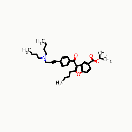 CCCCc1oc2ccc(C(=O)OC(C)C)cc2c1C(=O)c1ccc(C#CCN(CCCC)CCCC)cc1